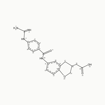 N=C(N)Nc1ccc(C(=O)Nc2ccc3c(c2)CC(CC(=O)O)CO3)cc1